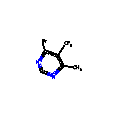 Cc1ncnc(C(C)C)c1C(F)(F)F